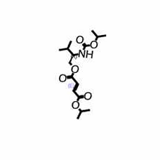 CC(C)OC(=O)/C=C/C(=O)OC[C@H](NC(=O)OC(C)C)C(C)C